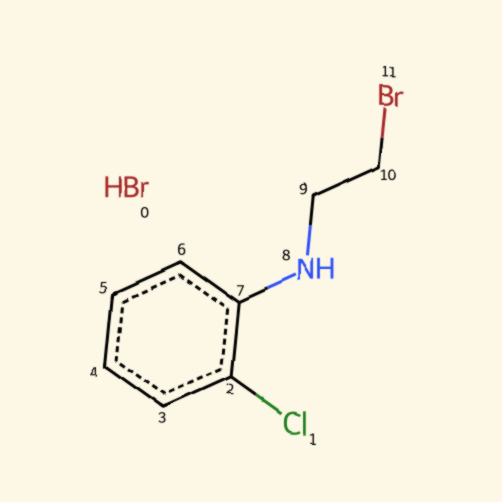 Br.Clc1ccccc1NCCBr